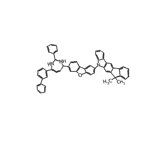 CC1(C)c2ccccc2-c2cc3c4ccccc4n(-c4ccc5oc6cc(C7C=C=C(c8cccc(-c9ccccc9)c8)NC(c8ccccc8)N7)ccc6c5c4)c3cc21